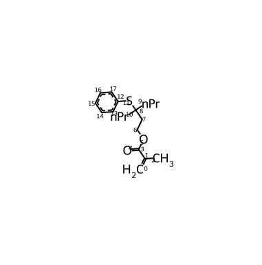 C=C(C)C(=O)OCCC(CCC)(CCC)Sc1ccccc1